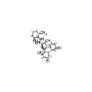 C[C@@H]1C(C(=O)NN2[C@H](C)CCC[C@@H]2C)=NN(c2ccc(Cl)cc2Cl)[C@@H]1c1ccc(Cl)cc1